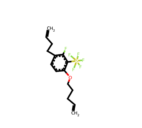 C=CCCCOc1ccc(CCC=C)c(F)c1S(F)(F)(F)(F)F